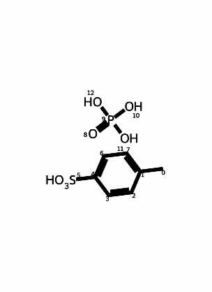 Cc1ccc(S(=O)(=O)O)cc1.O=P(O)(O)O